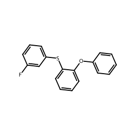 Fc1cccc(Sc2ccccc2Oc2ccccc2)c1